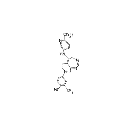 N#Cc1ccc(N2CCC3=C(Nc4ccc(C(=O)O)nc4)CN=CN=C3C2)cc1C(F)(F)F